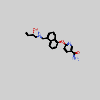 C=C[C@H](O)CNCc1cccc2c(Oc3ccc(C(N)=O)cn3)cccc12